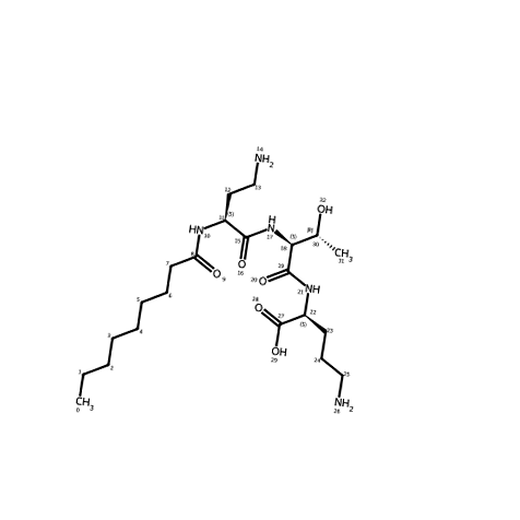 CCCCCCCCC(=O)N[C@@H](CCN)C(=O)N[C@H](C(=O)N[C@@H](CCCN)C(=O)O)[C@@H](C)O